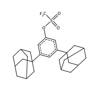 O=S(=O)(Oc1cc(C23CC4CC(CC(C4)C2)C3)cc(C23CC4CC(CC(C4)C2)C3)c1)C(F)(F)F